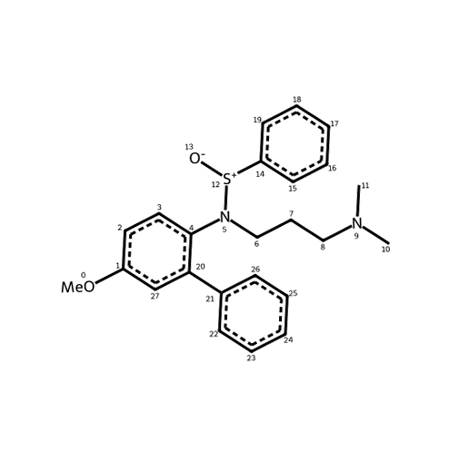 COc1ccc(N(CCCN(C)C)[S+]([O-])c2ccccc2)c(-c2ccccc2)c1